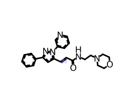 O=C(/C=C/c1cc(-c2ccccc2)nn1-c1cccnc1)NCCN1CCOCC1